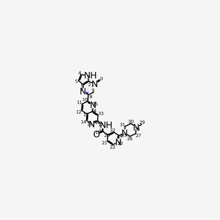 C=Nc1[nH]ccc1/N=C(\C)c1ccc2cnc(NC(=O)c3ccnc(N4CCN(C)CC4)c3)cc2n1